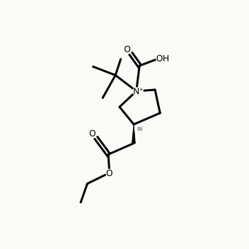 CCOC(=O)C[C@@H]1CC[N+](C(=O)O)(C(C)(C)C)C1